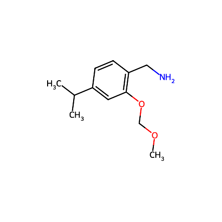 COCOc1cc(C(C)C)ccc1CN